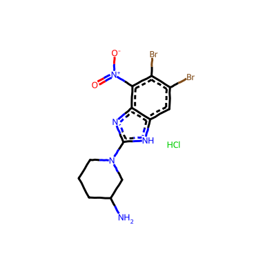 Cl.NC1CCCN(c2nc3c([N+](=O)[O-])c(Br)c(Br)cc3[nH]2)C1